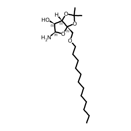 CCCCCCCCCCCCOC[C@@]12O[C@@H](N)[C@@H](O)[C@@H]1OC(C)(C)O2